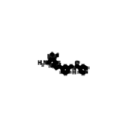 Cn1cnc2c(N)nc3cc(-c4cccc(CNC(=O)c5ccncc5)c4)sc3c21